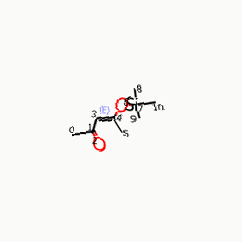 CC(=O)/C=C(\C)O[Si](C)(C)C